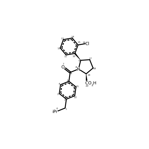 CC(C)Cc1ccc(C(=O)N2[C@@H](c3ccccc3Cl)CC[C@H]2C(=O)O)cc1